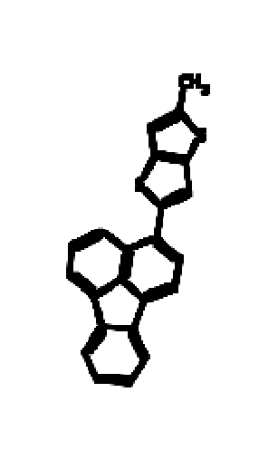 Cc1cc2sc(-c3ccc4c5c(cccc35)-c3ccccc3-4)cc2s1